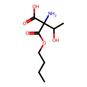 CCCCOC(=O)C(N)(C(=O)O)C(C)O